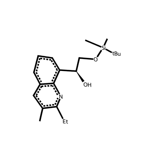 CCc1nc2c([C@H](O)CO[Si](C)(C)C(C)(C)C)cccc2cc1C